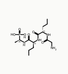 CCC[C@H](NC(=O)CN)C(=O)N[C@@H](CCC)C(=O)N[C@@H](C)P(=O)(O)O